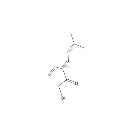 C=C/C(=C\C=C(C)C)C(=O)CBr